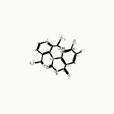 CC(=O)c1ccnc(C(C)C)c1-n1c(=O)[nH]c(=O)c2cc(F)c(Cl)nc21